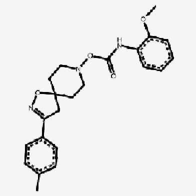 COc1ccccc1NC(=O)ON1CCC2(CC1)CC(c1ccc(C)cc1)=NO2